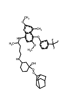 COc1cc(C)c2c(Oc3cccc(C(F)(F)F)c3)c(OC)cc(NC(C)CCCNC3CCC[C@@](O)(OOC4C5CC6CC(C5)CC4C6)C3)c2n1